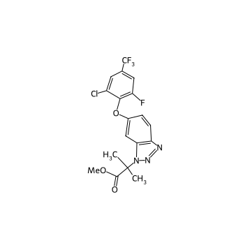 COC(=O)C(C)(C)n1nnc2ccc(Oc3c(F)cc(C(F)(F)F)cc3Cl)cc21